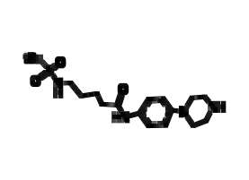 CC(C)(C)S(=O)(=O)NCCCCC(=O)Nc1ccc(N2CCNCC2)cc1